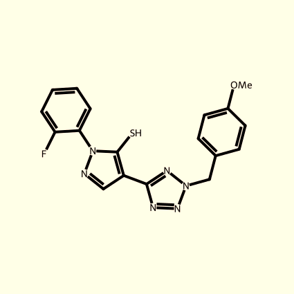 COc1ccc(Cn2nnc(-c3cnn(-c4ccccc4F)c3S)n2)cc1